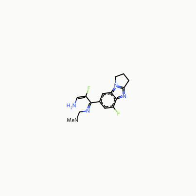 CNC/N=C(\C(F)=C/N)c1cc(F)c2nc3n(c2c1)CCC3